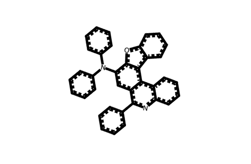 c1ccc(-c2nc3ccccc3c3c2cc(N(c2ccccc2)c2ccccc2)c2oc4ccccc4c23)cc1